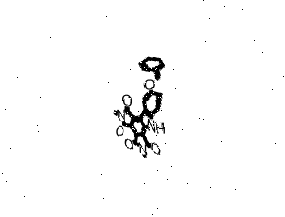 Cn1c(=O)c2c3[nH]c4ccc(OCc5ccccc5)cc4c3c3c(=O)n(C)c(=O)c3c2c1=O